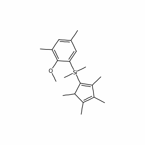 COc1c(C)cc(C)cc1[Si](C)(C)C1=C(C)C(C)=C(C)C1C